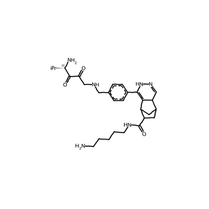 CC(C)[C@H](N)C(=O)C(=O)CNCc1ccc(C2=C3C(C=NN2)C2CC(C(=O)NCCCCCN)C3C2)cc1